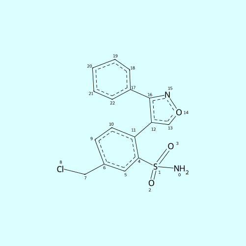 NS(=O)(=O)c1cc(CCl)ccc1-c1conc1-c1ccccc1